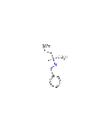 CSCCC(C)(N=Cc1ccccc1)C(=O)O